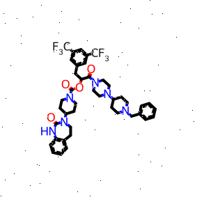 O=C(OC(Cc1cc(C(F)(F)F)cc(C(F)(F)F)c1)C(=O)N1CCN(C2CCN(Cc3ccccc3)CC2)CC1)N1CCC(N2CCc3ccccc3NC2=O)CC1